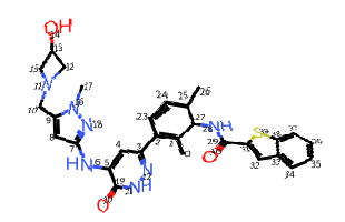 CC1=C(c2cc(Nc3cc(CN4CC(O)C4)n(C)n3)c(=O)[nH]n2)C=CC(C)C1NC(=O)c1cc2ccccc2s1